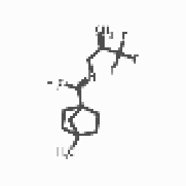 C=C(C/N=C(\C)C12CCC(C)(CC1)C2)C(F)(F)F